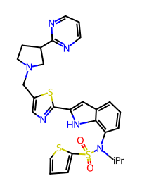 CC(C)N(c1cccc2cc(-c3ncc(CN4CCC(c5ncccn5)C4)s3)[nH]c12)S(=O)(=O)c1cccs1